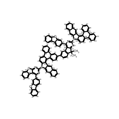 CC1(C)c2ccc(-c3ccc4c(c3)c3ccccc3c3ccc5c(c6cc7ccccc7cc6n5-c5nc(-c6ccc7c(c6)oc6ccccc67)c6c(n5)oc5ccccc56)c34)cc2-c2c(-c3ccc4c(c3)oc3ccccc34)nc(-n3c4cc5ccccc5cc4c4c5c6ccccc6c6ccccc6c5ccc43)nc21